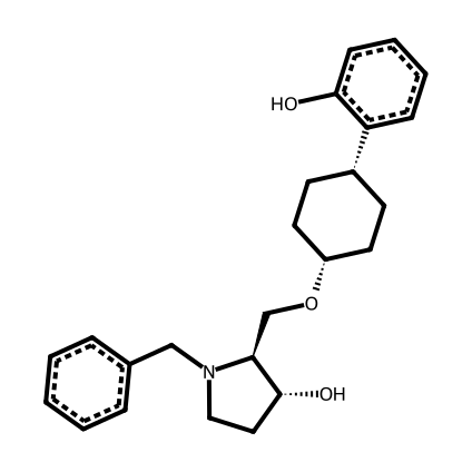 Oc1ccccc1[C@H]1CC[C@@H](OC[C@H]2[C@H](O)CCN2Cc2ccccc2)CC1